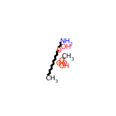 CCCCCCCCCCCCOCC(O)CN.CCOS(=O)(=O)O